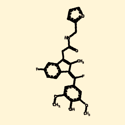 COc1cc(/C(F)=C2/C(C)=C(CC(=O)NCc3ccco3)c3cc(F)ccc32)cc(OC)c1O